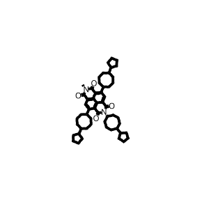 CN1C(=O)c2cc(C3CCCC(C4CCCC4)CCC3)c3c4c(cc(C5CCCC(C6CCCC6)CCC5)c(c24)C1=O)C(=O)N(C1CCCC(C2CCCC2)CCC1)C3=O